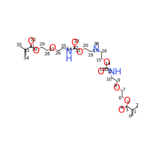 C=C(C)C(=O)OCCOCCNC(=O)OCCN(C)CCOC(=O)NCCOCCOC(=O)C(=C)C